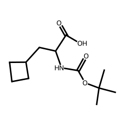 CC(C)(C)OC(=O)NC(CC1CCC1)C(=O)O